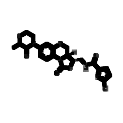 CC1OCCN(c2ccc3c(c2)OC[C@H]2[C@H](CNC(=O)c4ccc(Cl)s4)OC(=O)N32)C1=O